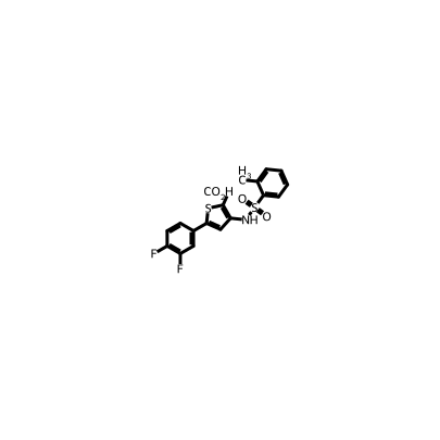 Cc1ccccc1S(=O)(=O)Nc1cc(-c2ccc(F)c(F)c2)sc1C(=O)O